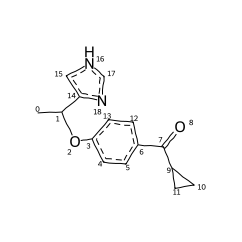 CC(Oc1ccc(C(=O)C2CC2)cc1)c1c[nH]cn1